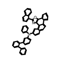 c1ccc(-c2ccccc2-c2cccc(N(c3ccccc3)c3ccc4ccc5c6ccccc6c6oc(-c7cccc8ccccc78)nc6c5c4c3)c2)cc1